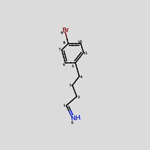 N=CCCCc1ccc(Br)cc1